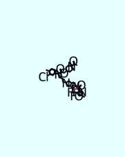 CC(=O)N1CCC(OC(=O)N(CCCN2CC3CN(C(=O)c4nc(C)oc4C(F)(F)F)CC3C2)c2ccc(C)c(Cl)c2)CC1